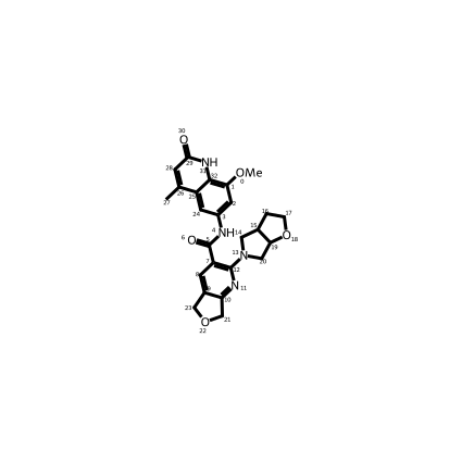 COc1cc(NC(=O)c2cc3c(nc2N2CC4CCOC4C2)COC3)cc2c(C)cc(=O)[nH]c12